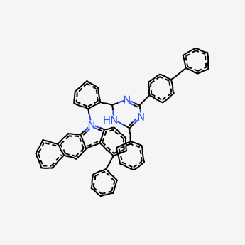 c1ccc(C2=NC(c3ccc(-c4ccccc4)cc3)=NC(c3ccccc3-n3c4cc5ccccc5cc4c4c(-c5ccccc5)cccc43)N2)cc1